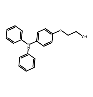 OCCSc1ccc([SiH](c2ccccc2)c2ccccc2)cc1